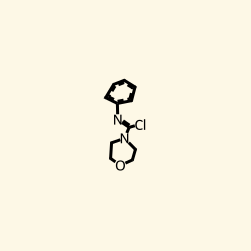 Cl/C(=N\c1ccccc1)N1CCOCC1